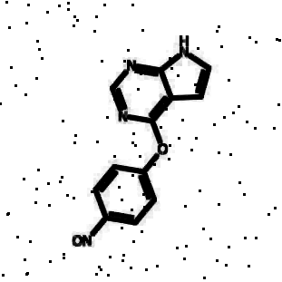 O=Nc1ccc(Oc2ncnc3[nH]ccc23)cc1